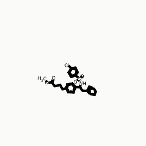 COC(=O)CCCc1ccc(C(CC2CC3CCC2C3)NS(=O)(=O)c2ccc(Cl)cc2)cc1